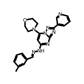 Cc1cccc(/C=N/Nc2cc(N3CCOCC3)n3nc(-c4cccnc4)nc3n2)c1